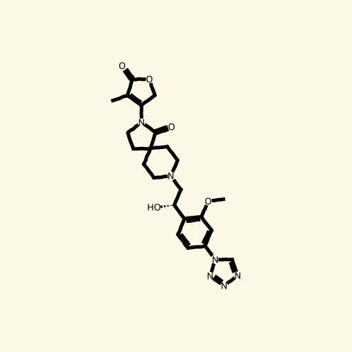 COc1cc(-n2cnnn2)ccc1[C@H](O)CN1CCC2(CC1)CCN(C1=C(C)C(=O)OC1)C2=O